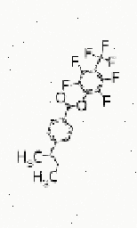 CCC(C)c1ccc(C(=O)Oc2c(F)c(F)c(C(F)(F)F)c(F)c2F)cc1